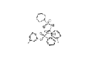 Cc1cccc(OP(=O)(Oc2cccc(C)c2)c2ccccc2NC(=O)NS(=O)(=O)C2CCCCC2)c1